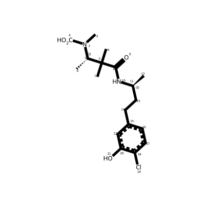 C[C@H](N(C)C(=O)O)C(C)(C)C(=O)N[C@@H](C)CCc1ccc(Cl)c(O)c1